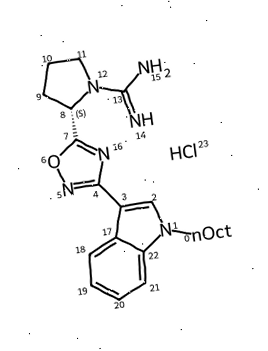 CCCCCCCCn1cc(-c2noc([C@@H]3CCCN3C(=N)N)n2)c2ccccc21.Cl